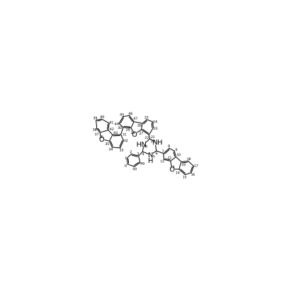 c1ccc(C2NC(c3ccc4c(c3)oc3ccccc34)NC(c3cccc4c3oc3c(-c5cccc6oc7ccccc7c56)cccc34)N2)cc1